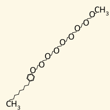 CCCCCCCCCc1ccc(OCCOCCOCCOCCOCCOCCOCCOCCOCC)cc1